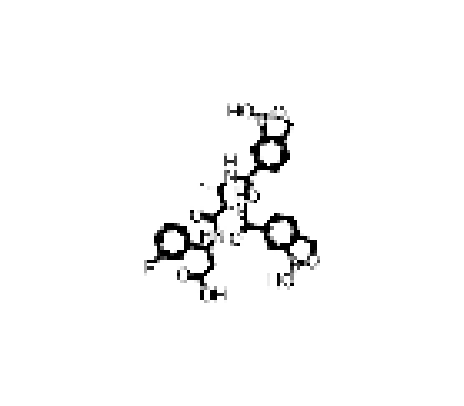 C[C@H](NC(=O)c1ccc2c(c1)B(O)OC2)[C@H](NC(=O)c1ccc2c(c1)B(O)OC2)C(=O)NC(CC(=O)O)c1cccc(F)c1